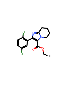 CCOC(=O)c1c(-c2cc(Cl)ccc2Cl)nc2n1CCCC2